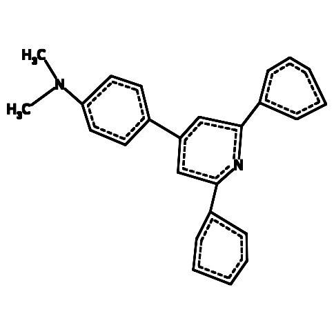 CN(C)c1ccc(-c2cc(-c3ccccc3)nc(-c3ccccc3)c2)cc1